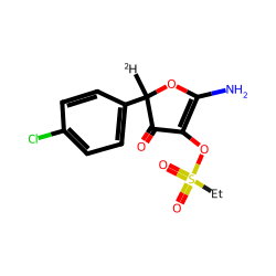 [2H]C1(c2ccc(Cl)cc2)OC(N)=C(OS(=O)(=O)CC)C1=O